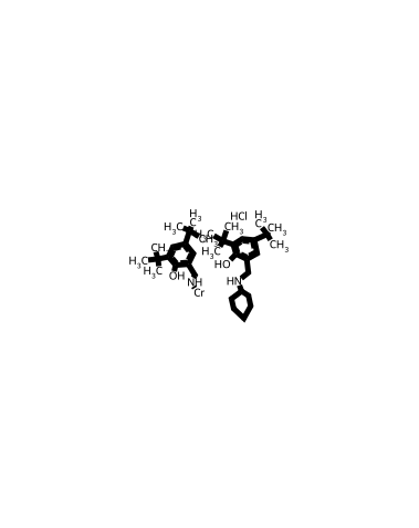 CC(C)(C)c1cc(CNC2CCCCC2)c(O)c(C(C)(C)C)c1.CC(C)(C)c1cc(C[NH][Cr])c(O)c(C(C)(C)C)c1.Cl